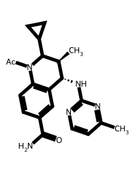 CC(=O)N1c2ccc(C(N)=O)cc2[C@@H](Nc2nccc(C)n2)[C@H](C)C1C1CC1